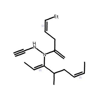 C#CNN(C(=C)C/C=C\CC)/C(=C\C)C(C)C/C=C\C